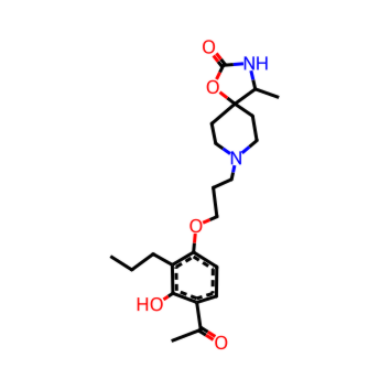 CCCc1c(OCCCN2CCC3(CC2)OC(=O)NC3C)ccc(C(C)=O)c1O